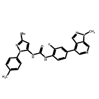 Cc1ccc(-n2nc(C(C)(C)C)cc2NC(=O)Nc2ccc(-c3cncc4c3cnn4C)cc2F)cc1